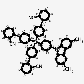 Cc1ccc2c(c1)c1cc(C)ccc1n2-c1ccc([Si](c2ccc(-c3ccccc3C#N)cc2)(c2ccc(-c3ccccc3C#N)cc2)c2ccc(-c3ccccc3C#N)cc2)cc1